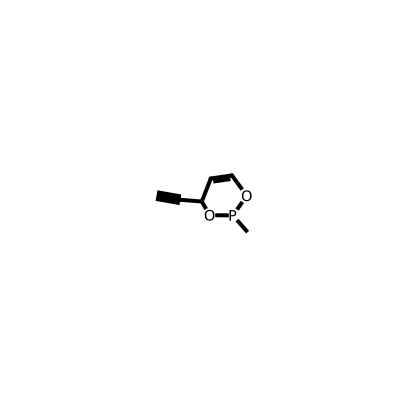 C#CC1C=COP(C)O1